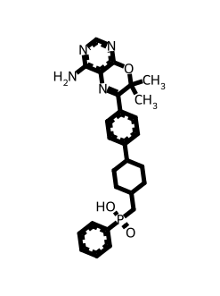 CC1(C)Oc2ncnc(N)c2N=C1c1ccc(C2CCC(CP(=O)(O)c3ccccc3)CC2)cc1